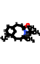 C=C1CCC2CC(CCC(=O)N1C(C)(C)C(C)C)CCC2C